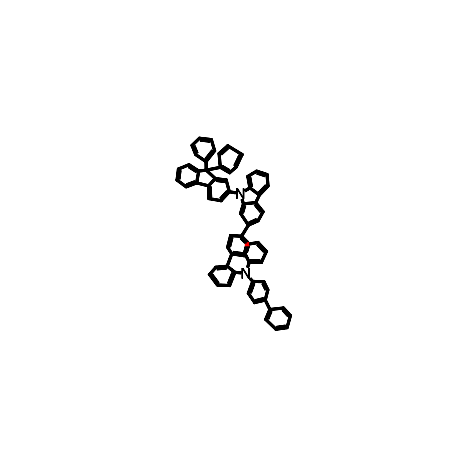 c1ccc(-c2ccc(N(c3ccccc3)c3ccccc3-c3ccc(-c4ccc5c6ccccc6n(-c6ccc7c(c6)C(c6ccccc6)(c6ccccc6)c6ccccc6-7)c5c4)cc3)cc2)cc1